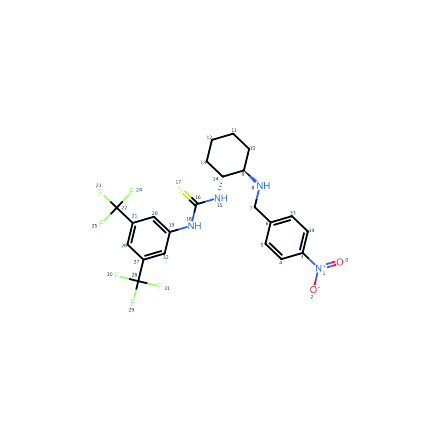 O=[N+]([O-])c1ccc(CN[C@@H]2CCCC[C@H]2NC(=S)Nc2cc(C(F)(F)F)cc(C(F)(F)F)c2)cc1